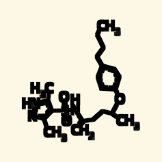 C=C(CCC(C)Oc1ccc(CCCC)cc1)NS(=O)(=O)c1c(C)n[nH]c1C